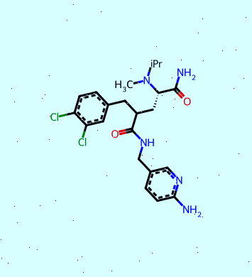 CC(C)N(C)[C@@H](CC(Cc1ccc(Cl)c(Cl)c1)C(=O)NCc1ccc(N)nc1)C(N)=O